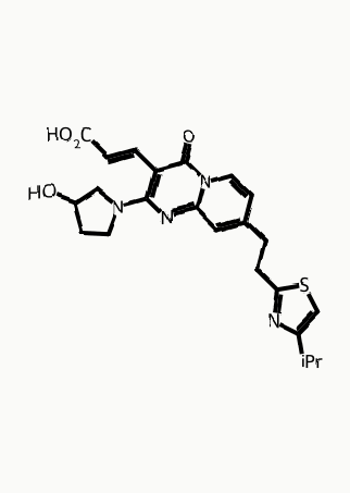 CC(C)c1csc(CCc2ccn3c(=O)c(/C=C/C(=O)O)c(N4CCC(O)C4)nc3c2)n1